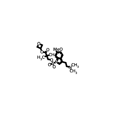 COc1ccc2c(CCN(C)C)cn(S(=O)(=O)OCC(C)(C)C(=O)OC3COC3)c2c1